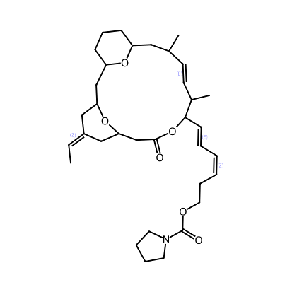 C/C=C1\CC2CC(=O)OC(/C=C/C=C\CCOC(=O)N3CCCC3)C(C)/C=C/C(C)CC3CCCC(CC(C1)O2)O3